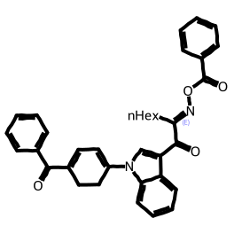 CCCCCC/C(=N\OC(=O)c1ccccc1)C(=O)c1cn(C2=CC=C(C(=O)c3ccccc3)CC2)c2ccccc12